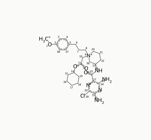 COc1ccc(CCC[N+]2(CC(=O)OC3CCCCC3)CCCC(NC(=O)c3nc(Cl)c(N)nc3N)C2)cc1